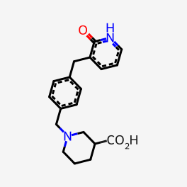 O=C(O)C1CCCN(Cc2ccc(Cc3ccc[nH]c3=O)cc2)C1